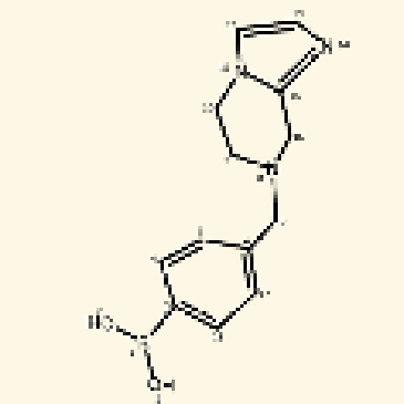 OB(O)c1ccc(CN2CCn3ccnc3C2)cc1